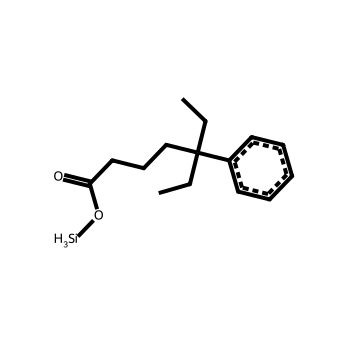 CCC(CC)(CCCC(=O)O[SiH3])c1ccccc1